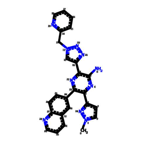 Cn1ccc(-c2nc(N)c(-c3cn(Cc4ccccn4)nn3)nc2-c2ccc3ncccc3c2)n1